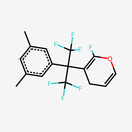 Cc1[c]c(C)cc(C(C2=C(F)OC=CC2)(C(F)(F)F)C(F)(F)F)c1